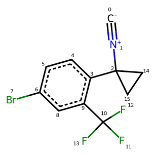 [C-]#[N+]C1(c2ccc(Br)cc2C(F)(F)F)CC1